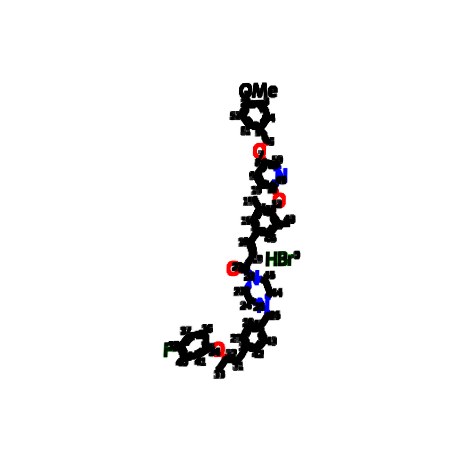 Br.COc1ccc(COc2ccc(Oc3c(C)cc(/C=C/C(=O)N4CCN(Cc5ccc(CC(C)Oc6ccc(F)cc6)cc5)CC4)cc3C)nc2)cc1